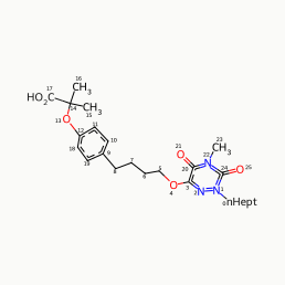 CCCCCCCn1nc(OCCCCc2ccc(OC(C)(C)C(=O)O)cc2)c(=O)n(C)c1=O